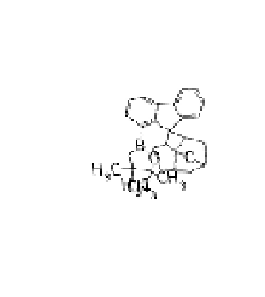 CC1(C)CB(c2cccc3c2C2(c4ccccc4-3)C3CC4CC5CC2C3(C4)C5)OC1(C)C